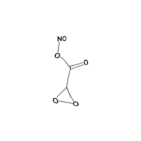 O=NOC(=O)C1OO1